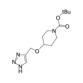 CC(C)(C)OC(=O)N1CCC(OCc2c[nH]nn2)CC1